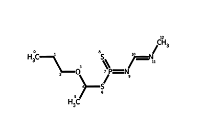 CCCOC(C)S/P(=S)=N/C=NC